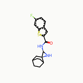 O=C(N[C@H]1N[C@@]12CC1CCC2CC1)c1cc2ccc(F)cc2s1